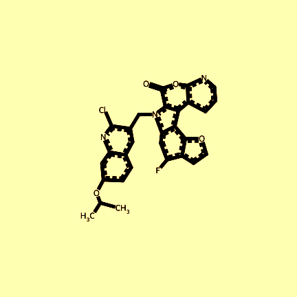 CC(C)Oc1ccc2cc(Cn3c4cc(F)c5ccoc5c4c4c5cccnc5oc(=O)c43)c(Cl)nc2c1